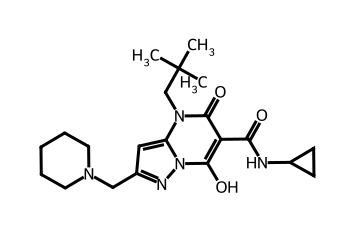 CC(C)(C)Cn1c(=O)c(C(=O)NC2CC2)c(O)n2nc(CN3CCCCC3)cc12